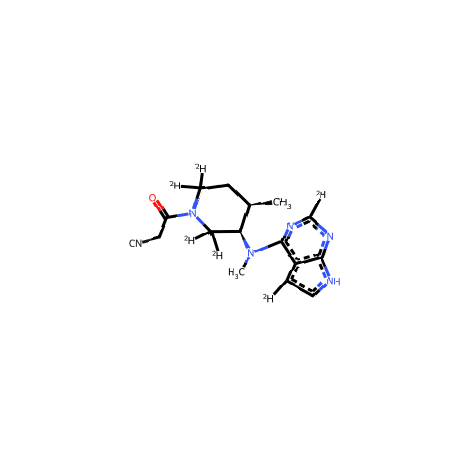 [2H]c1nc(N(C)[C@@H]2[C@H](C)CC([2H])([2H])N(C(=O)C[N+]#[C-])C2([2H])[2H])c2c([2H])c[nH]c2n1